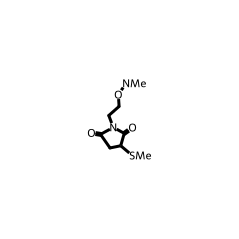 CNOCCN1C(=O)CC(SC)C1=O